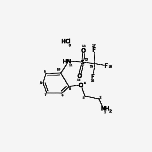 Cl.NCCOc1ccccc1NS(=O)(=O)C(F)(F)F